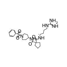 N=C(N)NCCC[CH]NC(=O)C1(C(=O)NC2CCN(S(=O)(=O)c3ccccc3)CC2)CCCC1